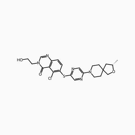 C[C@H]1CC2(CCN(c3cnc(Sc4ccc5ncn(CCO)c(=O)c5c4Cl)cn3)CC2)CO1